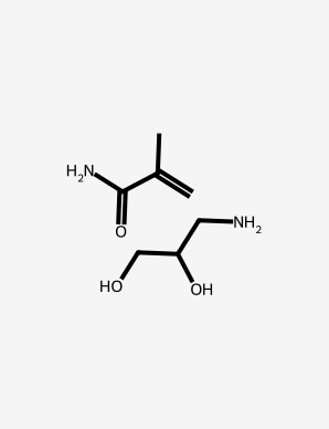 C=C(C)C(N)=O.NCC(O)CO